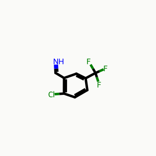 N=Cc1cc(C(F)(F)F)ccc1Cl